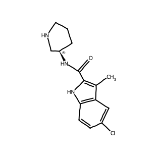 Cc1c(C(=O)N[C@@H]2CCCNC2)[nH]c2ccc(Cl)cc12